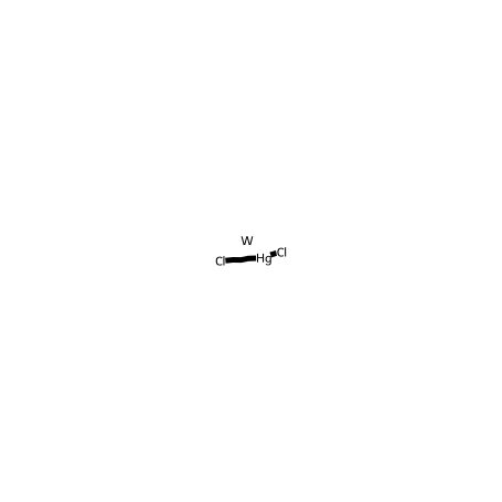 [Cl][Hg][Cl].[W]